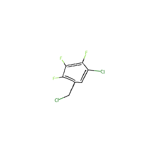 Fc1c(Cl)cc(CCl)c(F)c1F